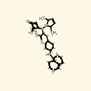 CC1C=CC(C)N1N(c1cc(=O)c1=O)C(Cc1ccc(Nc2nccc3cnccc23)cc1)C(=O)O